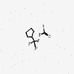 FC(F)(F)C1CCCC1.O=C(F)F